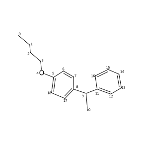 CCCCOc1ccc(C(C)c2ccccc2)cc1